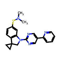 CN(C)Sc1ccc2c(c1)N(c1ncc(-c3ccccn3)cn1)CC21CC1